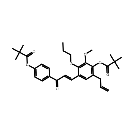 C=CCc1cc(C=CC(=O)c2ccc(OC(=O)C(C)(C)C)cc2)c(OCCC)c(OC)c1OC(=O)C(C)(C)C